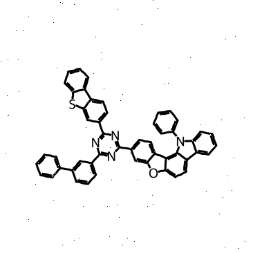 c1ccc(-c2cccc(-c3nc(-c4ccc5c(c4)oc4ccc6c7ccccc7n(-c7ccccc7)c6c45)nc(-c4ccc5c(c4)sc4ccccc45)n3)c2)cc1